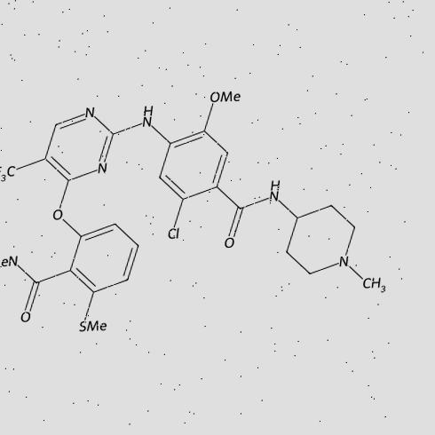 CNC(=O)c1c(Oc2nc(Nc3cc(Cl)c(C(=O)NC4CCN(C)CC4)cc3OC)ncc2C(F)(F)F)cccc1SC